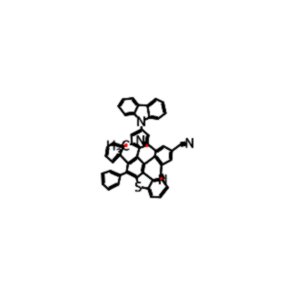 Cc1cc(-n2c3ccccc3c3ccccc32)ccc1-c1c(-c2ccccc2)c(-c2ccccc2)c2sc3ccccc3c2c1-c1c(C#N)cc(C#N)cc1C#N